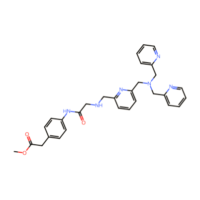 COC(=O)Cc1ccc(NC(=O)CNCc2cccc(CN(Cc3ccccn3)Cc3ccccn3)n2)cc1